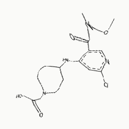 CON(C)C(=O)c1cnc(Cl)cc1NC1CCN(C(=O)O)CC1